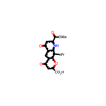 CCCc1c2[nH]c(C(=O)OC)cc(=O)c2cc2c(=O)cc(C(=O)O)oc12